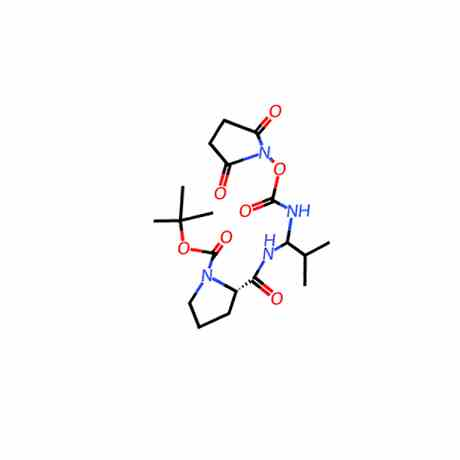 CC(C)C(NC(=O)ON1C(=O)CCC1=O)NC(=O)[C@@H]1CCCN1C(=O)OC(C)(C)C